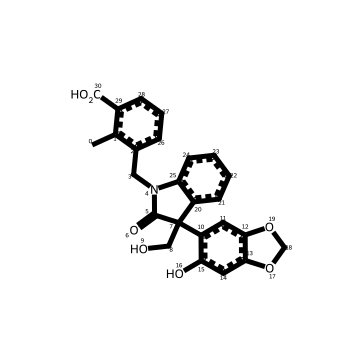 Cc1c(CN2C(=O)C(CO)(c3cc4c(cc3O)OCO4)c3ccccc32)cccc1C(=O)O